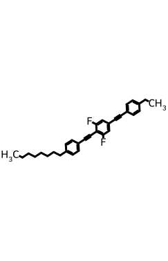 CCCCCCCCc1ccc(C#Cc2c(F)cc(C#Cc3ccc(CC)cc3)cc2F)cc1